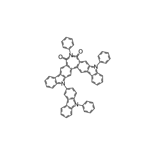 O=c1c2cc3c(cc2c2cc4c(cc2c(=O)n1-c1ccccc1)c1ccccc1n4-c1ccc2c(c1)c1ccccc1n2-c1ccccc1)c1ccccc1n3-c1ccccc1